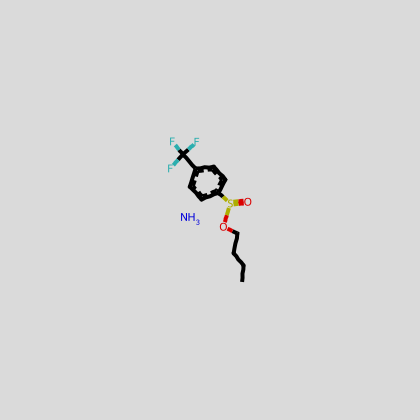 CCCCOS(=O)c1ccc(C(F)(F)F)cc1.N